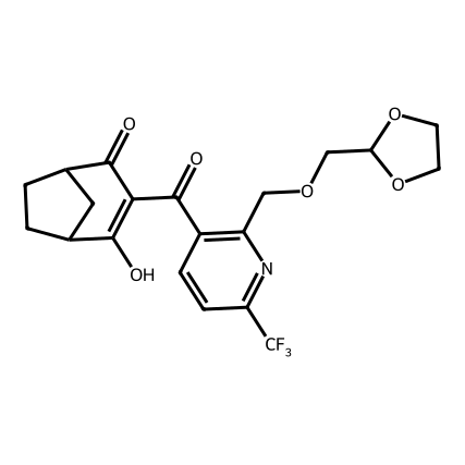 O=C(C1=C(O)C2CCC(C2)C1=O)c1ccc(C(F)(F)F)nc1COCC1OCCO1